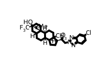 COC[C@]12CC[C@](O)(C(F)(F)F)C[C@H]1CC[C@H]1[C@@H]3CC[C@H](C(=O)Cn4nc5ccc(Cl)cc5n4)C3(C)CC[C@@H]12